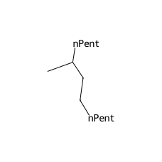 CCC[CH]CC(C)CCCCCCC